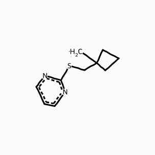 [CH2]C1(CSc2ncccn2)CCC1